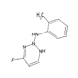 Cc1ccccc1NN1N=C(F)C=[C]N1